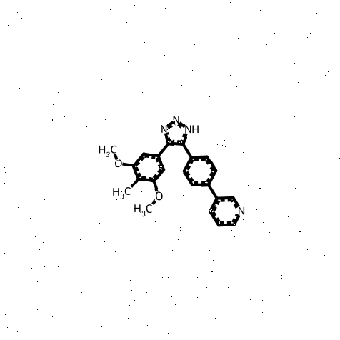 COc1cc(-c2nn[nH]c2-c2ccc(-c3cccnc3)cc2)cc(OC)c1C